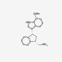 COc1cccc2c([C@@H]3C[C@H](CN)c4ccccc43)c[nH]c12